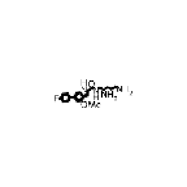 COc1cc(-c2ccc(F)cc2)cc2[nH]c(C(=O)NC[C@H](N)CCCN)cc12